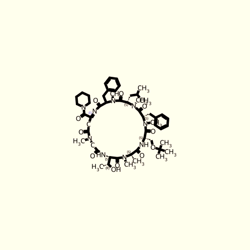 CC(C)C[C@H]1C(=O)N(C)C(Cc2ccccc2)C(=O)/N=C(/C(=O)N2CCCCC2)CC(=O)N(C)CC(=O)N[C@@H]([C@@H](C)O)C(=O)N(C)[C@@H](C)C(=O)N[C@@H](COC(C)(C)C)C(=O)N(C)[C@@H](Cc2ccccc2)C(=O)N1C